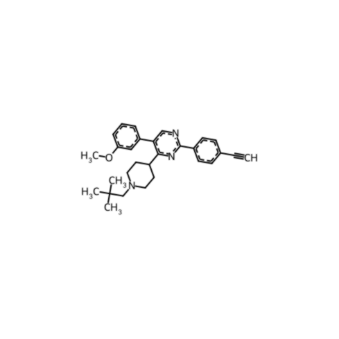 C#Cc1ccc(-c2ncc(-c3cccc(OC)c3)c(C3CCN(CC(C)(C)C)CC3)n2)cc1